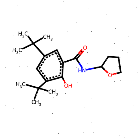 CC(C)(C)c1cc(C(=O)NC2CCCO2)c(O)c(C(C)(C)C)c1